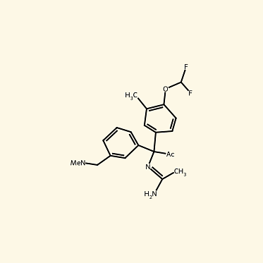 CNCc1cccc(C(/N=C(\C)N)(C(C)=O)c2ccc(OC(F)F)c(C)c2)c1